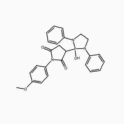 COc1ccc(N2C(=O)CC([P]3(O)N(c4ccccc4)CCN3c3ccccc3)C2=O)cc1